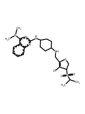 CC(C)S(=O)(=O)C1CSC(CNC2CCC(Nc3nc(N(C)C)c4ccccc4n3)CC2)=C1Cl